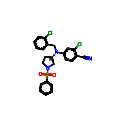 N#Cc1ccc(N(Cc2ccccc2Cl)[C@H]2CCN(S(=O)(=O)c3ccccc3)C2)cc1Cl